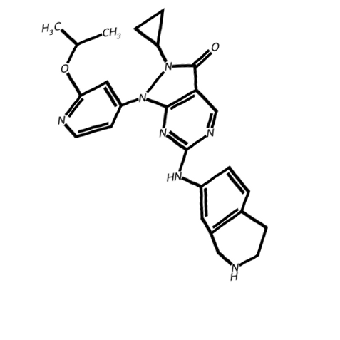 CC(C)Oc1cc(-n2c3nc(Nc4ccc5c(c4)CNCC5)ncc3c(=O)n2C2CC2)ccn1